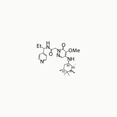 CCC(NC(=O)Cn1ncc(N[C@@H]2C[C@H](C)C(C)(C)[C@H](C)[C@H]2C)c(OC)c1=O)c1ccncc1